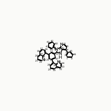 c1ccc(-c2ccnc3c2NC(c2cc(-c4cccc5cccnc45)cc(-c4cccc5cccnc45)c2)N3c2ccccc2)cc1